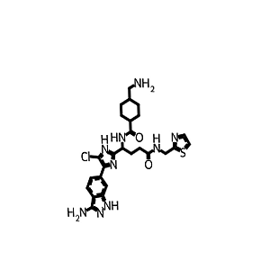 NCC1CCC(C(=O)NC(CCC(=O)NCc2nccs2)c2nc(-c3ccc4c(N)n[nH]c4c3)c(Cl)[nH]2)CC1